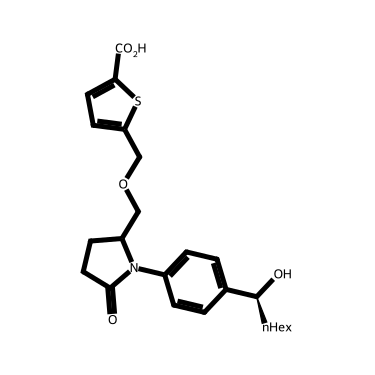 CCCCCC[C@H](O)c1ccc(N2C(=O)CCC2COCc2ccc(C(=O)O)s2)cc1